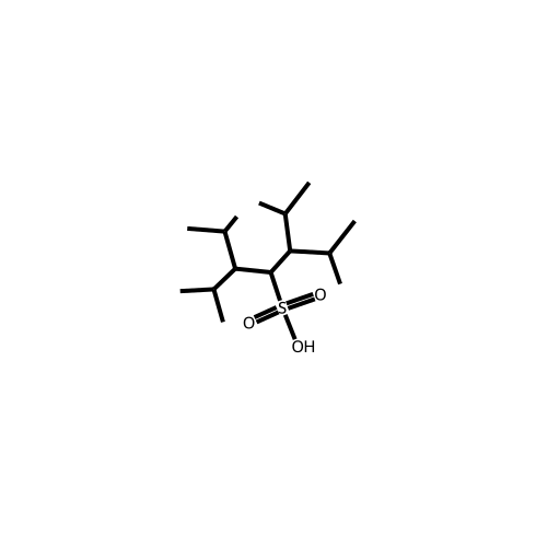 CC(C)C(C(C)C)C(C(C(C)C)C(C)C)S(=O)(=O)O